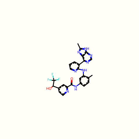 Cc1nc2c(-c3cccnc3Nc3cc(NC(=O)c4cc(C(O)C(F)(F)F)ccn4)ccc3C)ncnc2[nH]1